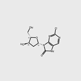 O=c1[nH]c2cnc(Cl)nc2n1[C@@H]1C[C@@H](O)[C@H](CO)O1